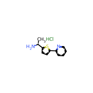 C[C@H](N)c1ccc(-c2ccccn2)s1.Cl